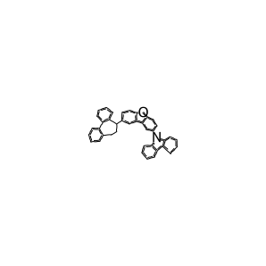 c1ccc2c(c1)CCC(c1ccc3oc4ccc(-n5c6ccccc6c6ccccc65)cc4c3c1)c1ccccc1-2